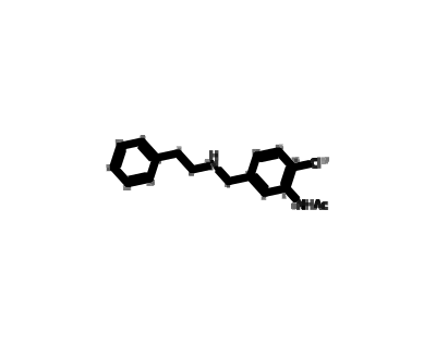 CC(=O)Nc1cc(CNCCc2ccccc2)ccc1Cl